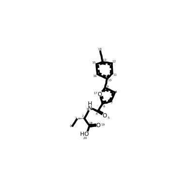 CC[C@H](NC(=O)c1ccc(-c2ccc(C)cc2)o1)C(=O)O